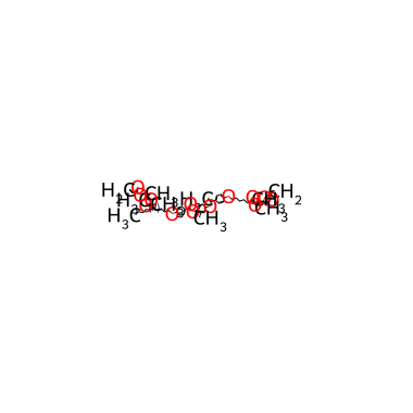 C=CC(=O)OCC(C)(C)OC(=O)CCCCCOc1ccc(C(=C)Oc2ccc(OC(=O)c3ccc(OCCCC[C@@](C)(CCCCC)C(=O)OC(C)(C)COC(=O)C=C)cc3)c(C)c2)cc1